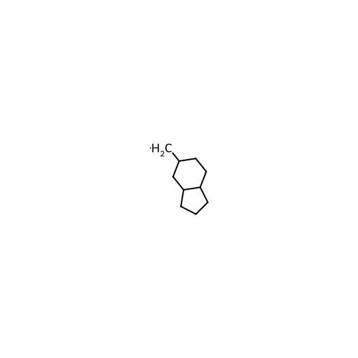 [CH2]C1CCC2CCCC2C1